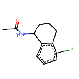 CC(=O)NC1CCCc2c(Cl)cccc21